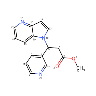 COC(=O)CC(c1cccnc1)n1ccc2ncccc21